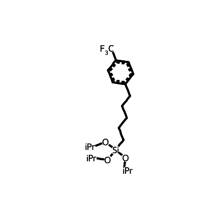 CC(C)O[Si](CCCCCc1ccc(C(F)(F)F)cc1)(OC(C)C)OC(C)C